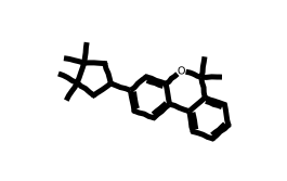 CC1(C)Oc2cc(C3CC(C)(C)C(C)(C)C3)ccc2-c2ccccc21